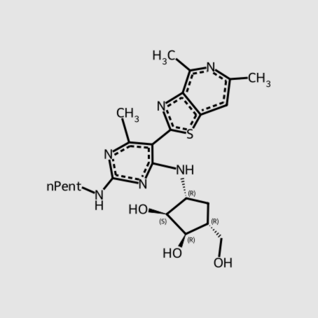 CCCCCNc1nc(C)c(-c2nc3c(C)nc(C)cc3s2)c(N[C@@H]2C[C@H](CO)[C@@H](O)[C@H]2O)n1